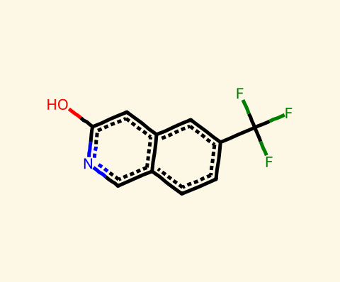 Oc1cc2cc(C(F)(F)F)ccc2cn1